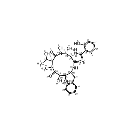 CC(C)C1C(=O)N(C)[C@H](C)[C@H](NC(=O)c2ncccc2O)C(=O)N[C@@H](Cc2ccccc2)[C@@H](O)[C@@H](C)C(=O)N1C